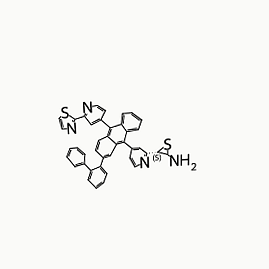 NC1S[C@H]1c1cc(-c2c3ccccc3c(-c3ccnc(-c4nccs4)c3)c3ccc(-c4ccccc4-c4ccccc4)cc23)ccn1